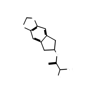 CC(C)C(N)C(=O)NC1Cc2cc3c(cc2C1)OCO3